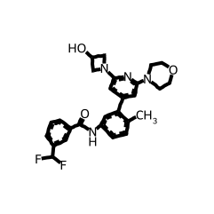 Cc1ccc(NC(=O)c2cccc(C(F)F)c2)cc1-c1cc(N2CCOCC2)nc(N2CC(O)C2)c1